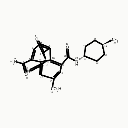 N=c1[nH]c(=O)c2ccc(C(N)=O)c3c1c(C(=O)O)cc(C(=O)N[C@H]1CC[C@H](C(F)(F)F)CC1)c23